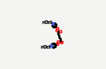 CCCCCCCC[n+]1ccc(OOC(=O)CCCCC(=O)OOc2cc[n+](CCCCCCCC)cc2)cc1